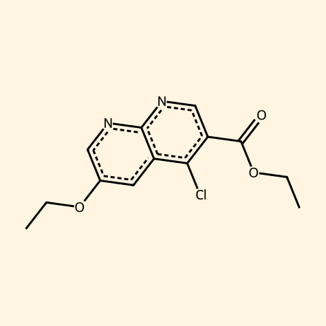 CCOC(=O)c1cnc2ncc(OCC)cc2c1Cl